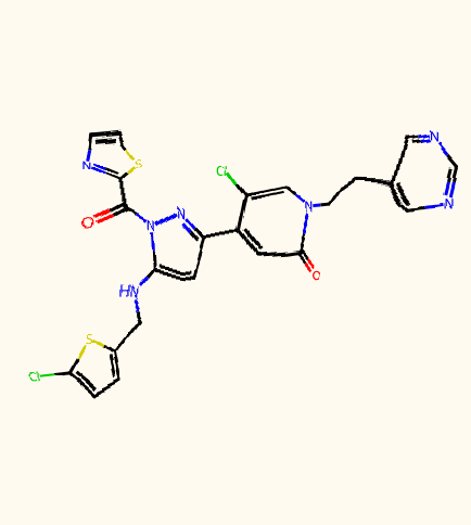 O=C(c1nccs1)n1nc(-c2cc(=O)n(CCc3cncnc3)cc2Cl)cc1NCc1ccc(Cl)s1